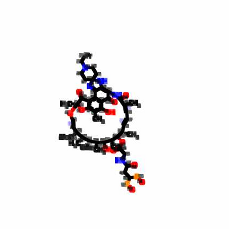 CO[C@H]1/C=C/O[C@@]2(C)Oc3c(C)c(O)c4c(c3C2=O)C2=NC3(CCN(CC(C)C)CC3)NC2=C(NC(=O)/C(C)=C\C=C\[C@H](C)[C@H](OC(=O)CNC(=O)CC(P=O)P=O)[C@@H](C)[C@@H](O)[C@@H](C)[C@H](OC(C)=O)[C@@H]1C)C4=O